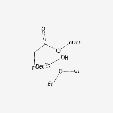 CCCCCCCCCCCC(=O)OCCCCCCCC.CCO.CCOCC